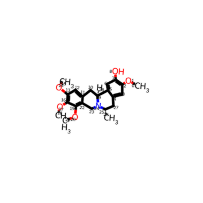 COc1cc2c(cc1O)[C@@H]1Cc3cc(OC)c(OC)c(OC)c3CN1[C@@H](C)C2